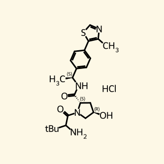 Cc1ncsc1-c1ccc([C@H](C)NC(=O)[C@@H]2C[C@@H](O)CN2C(=O)C(N)C(C)(C)C)cc1.Cl